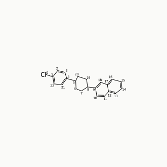 Clc1ccc(C2CCC(c3ccc4ccccc4c3)CC2)cc1